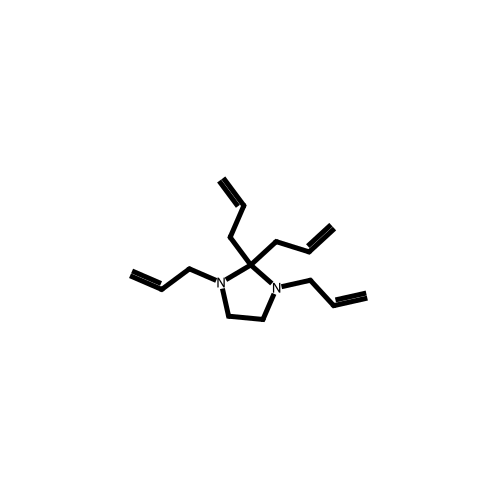 C=CCN1CCN(CC=C)C1(CC=C)CC=C